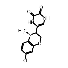 CN1c2ccc(Cl)cc2OCC1c1c[nH]c(=O)c(=O)[nH]1